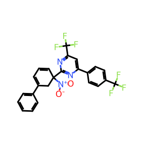 O=[N+]([O-])C1(c2nc(-c3ccc(C(F)(F)F)cc3)cc(C(F)(F)F)n2)C=CC=C(c2ccccc2)C1